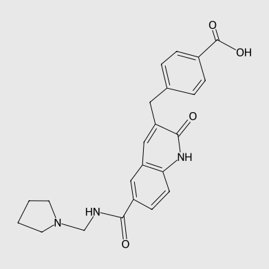 O=C(O)c1ccc(Cc2cc3cc(C(=O)NCN4CCCC4)ccc3[nH]c2=O)cc1